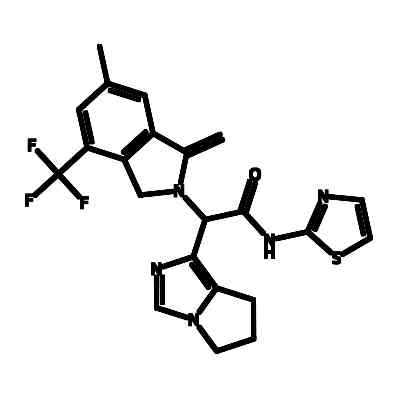 C=C1c2cc(C)cc(C(F)(F)F)c2CN1C(C(=O)Nc1nccs1)c1ncn2c1CCC2